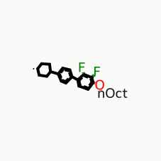 CCCCCCCCOc1ccc(-c2ccc(C3CC[CH]CC3)cc2)c(F)c1F